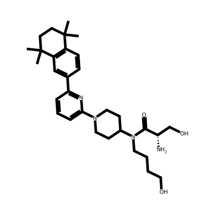 CC1(C)CCC(C)(C)c2cc(-c3cccc(N4CCC(N(CCCCO)C(=O)[C@@H](N)CO)CC4)n3)ccc21